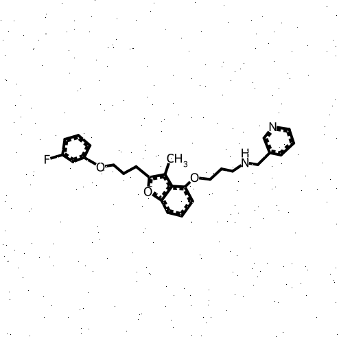 Cc1c(CCCOc2cccc(F)c2)oc2cccc(OCCCNCc3cccnc3)c12